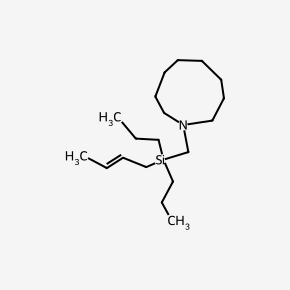 C/C=C/C[Si](CCC)(CCC)CN1CCCCCCCC1